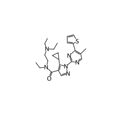 CCN(CC)CCN(CC)C(=O)c1cnn(-c2ncc(C)c(-c3cccs3)n2)c1C1CC1